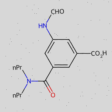 CCCN(CCC)C(=O)c1cc(NC=O)cc(C(=O)O)c1